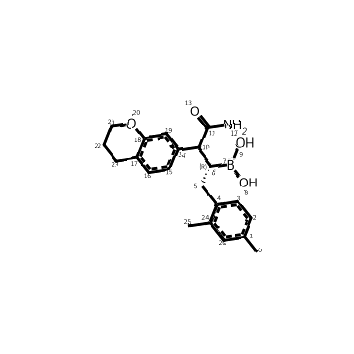 Cc1ccc(C[C@@H](B(O)O)C(C(N)=O)c2ccc3c(c2)OCCC3)c(C)c1